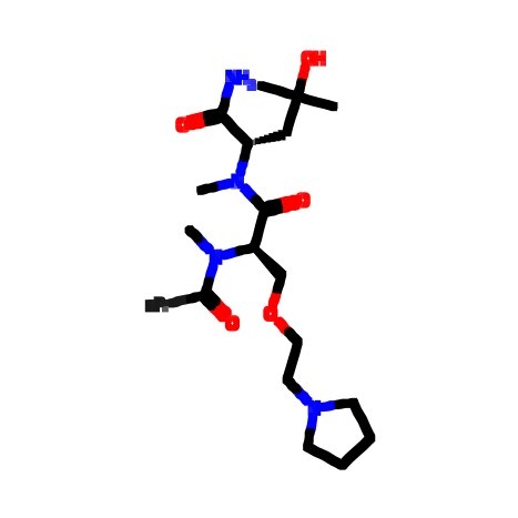 CCCC(=O)N(C)[C@H](COCCN1CCCC1)C(=O)N(C)[C@@H](CC(C)(C)O)C(N)=O